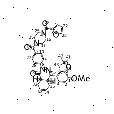 COc1ccc(C2=NN(c3ccc(C(=O)N4CCN(C(=O)c5ccco5)CC4)cc3)C(=O)[C@@H]3CC=CC[C@H]23)c2c1OC(C)(C)C2